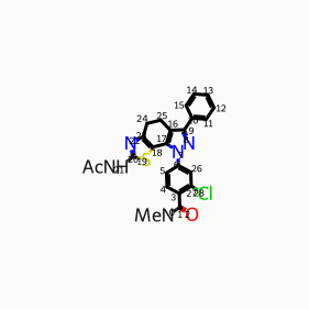 CNC(=O)c1ccc(-n2nc(-c3ccccc3)c3c2-c2sc(NC(C)=O)nc2CC3)cc1Cl